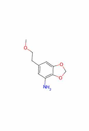 COCCc1cc(N)c2c(c1)OCO2